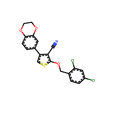 N#Cc1c(-c2ccc3c(c2)OCCO3)csc1OCc1ccc(Cl)cc1Cl